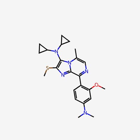 COc1cc(N(C)C)ccc1-c1ncc(C)n2c(N(C3CC3)C3CC3)c(SC)nc12